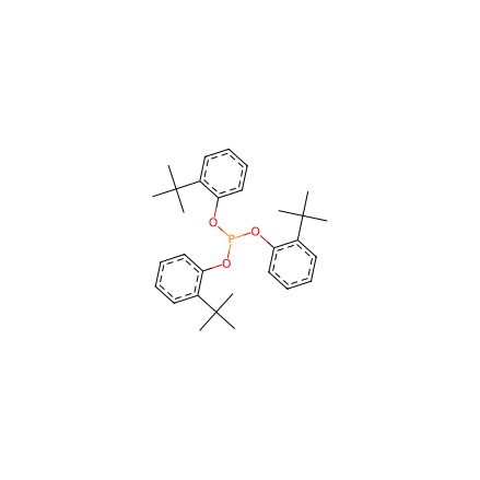 CC(C)(C)c1ccccc1OP(Oc1ccccc1C(C)(C)C)Oc1ccccc1C(C)(C)C